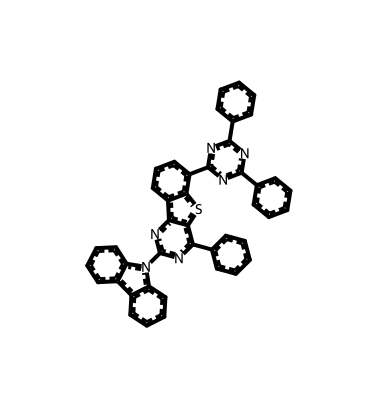 c1ccc(-c2nc(-c3ccccc3)nc(-c3cccc4c3sc3c(-c5ccccc5)nc(-n5c6ccccc6c6ccccc65)nc34)n2)cc1